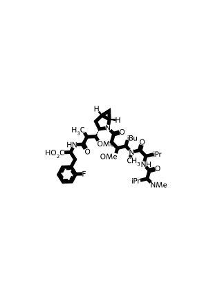 CCC(C)C(C(CC(=O)N1[C@H](C(OC)C(C)C(=O)NC(Cc2ccccc2F)C(=O)O)C[C@@H]2C[C@@H]21)OC)N(C)C(=O)C(NC(=O)C(NC)C(C)C)C(C)C